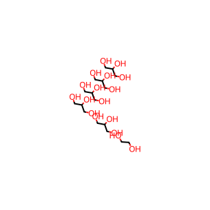 OCC(O)CO.OCC(O)CO.OCC(O)CO.OCC(O)CO.OCC(O)CO.OCCO